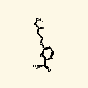 CCNCCOc1cc[c]c(C(N)=O)n1